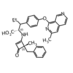 CCC(c1ccc(Oc2nc(C)cc3ccncc23)cc1)[C@H](NC1=CC(=O)[C@@]1(C)Cc1ccccc1)C(=O)O